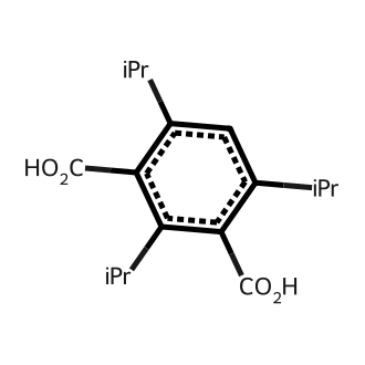 CC(C)c1cc(C(C)C)c(C(=O)O)c(C(C)C)c1C(=O)O